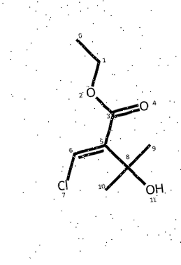 CCOC(=O)C(=CCl)C(C)(C)O